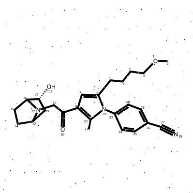 COCCCCc1cc(C(=O)CN2C3CCC2[C@H](O)C3)c(C)n1-c1ccc(C#N)cc1